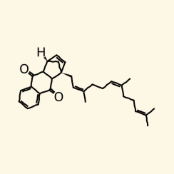 CC(C)=CCCC(C)=CCCC(C)=CC[C@]12C=C[C@H](C1)C1C(=O)c3ccccc3C(=O)C12